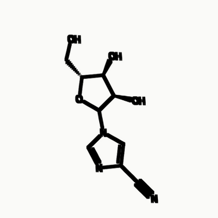 N#Cc1cn(C2O[C@H](CO)[C@@H](O)[C@H]2O)cn1